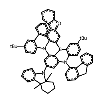 CC(C)(C)c1ccc2c(c1)B1c3cc4oc5ccccc5c4cc3N(c3ccc(C(C)(C)C)cc3-c3ccccc3)c3cc(N4c5ccccc5C5(C)CCCCC45C)cc(c31)N2c1cccc2c1-c1ccccc1C2